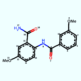 COc1cccc(C(=O)Nc2ccc(OC)cc2C(N)=O)c1